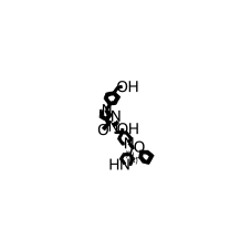 O=C([C@@H]1CCNC[C@H]1c1ccccc1)N1CCC(O)(Cn2cnc3c(ccn3-c3ccc(CO)cc3)c2=O)CC1